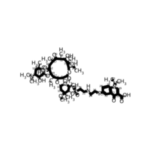 CC[C@H]1OC(=O)[C@H](C)[C@@H](O[C@H]2C[C@@](C)(OC)[C@@H](OS(=O)(=O)CCNCCSc3ccc4c(c3)c(=O)c(C(=O)O)cn4N(C)C)[C@H](C)O2)[C@H](C)[C@@H](O[C@@H]2O[C@H](C)C[C@H](N(C)C)[C@H]2O)[C@](C)(OC)C[C@@H](C)C(=O)[C@H](C)[C@@H](O)[C@]1(C)O